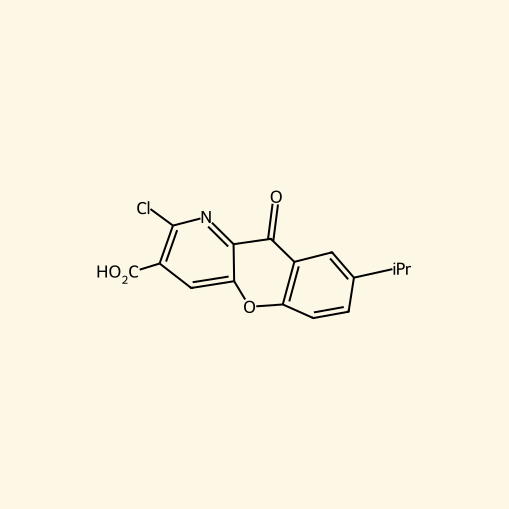 CC(C)c1ccc2oc3cc(C(=O)O)c(Cl)nc3c(=O)c2c1